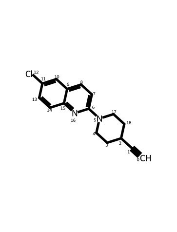 C#CC1CCN(c2ccc3cc(Cl)ccc3n2)CC1